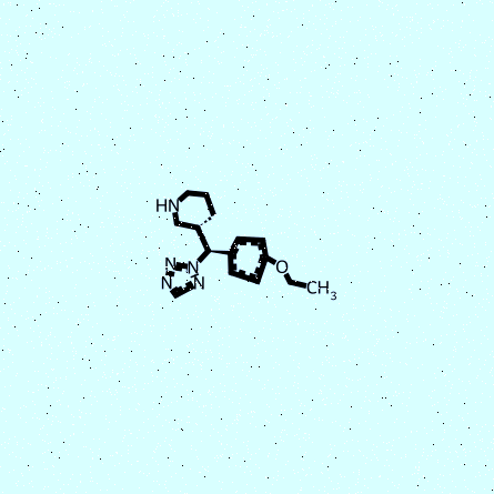 CCOc1ccc([C@H]([C@H]2CCCNC2)n2ncnn2)cc1